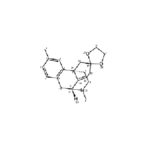 Cc1ccc2c(c1)[C@]13CCN(C)[C@H](C2)C1=CCC1(C3)OCCO1